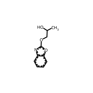 CC(O)COc1nc2ccccc2o1